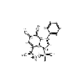 CS(=O)(=O)N1C=C(c2ccccc2)C2C(=O)C(=O)C=C(C(=O)O)C21